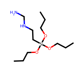 CCCO[Si](CCNCN)(OCCC)OCCC